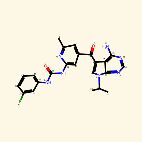 Cc1cc(C(=O)c2cn(C(C)C)c3ncnc(N)c23)cc(NC(=O)Nc2cccc(F)c2)n1